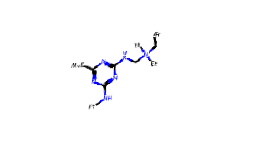 CC[N+](CC)(CNc1nc(NC(C)C)nc(SC)n1)CC(C)C